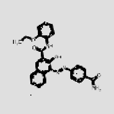 CCOc1ccccc1NC(=O)c1cc2ccccc2c(N=Nc2ccc(C(N)=O)cc2)c1O